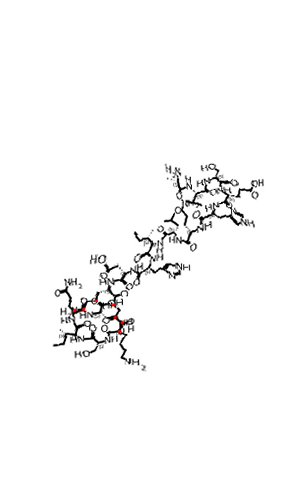 CC[C@H](C)[C@H](NC(=O)[C@H](CO)NC(=O)[C@H](CCCCN)NC(=O)CNC(=O)[C@H](CCCCN)NC(=O)[C@H](CC(=O)O)NC(=O)[C@H](Cc1c[nH]cn1)NC(=O)[C@@H](NC(=O)[C@H](CC(C)C)NC(=O)[C@H](CCC(N)=O)NC(=O)[C@H](Cc1c[nH]cn1)NC(=O)[C@H](CCC(=O)O)NC(=O)[C@H](CO)NC(=O)[C@@H](NC(=O)[C@H](C)N)C(C)C)[C@@H](C)CC)C(=O)N[C@@H](CCC(N)=O)C(=O)N[C@@H](CCC(=O)O)C(=O)O